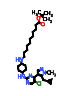 Cn1ncc(-c2nc(NC3CCC(NCCCCCCCCCCC(=O)OC(C)(C)C)CC3)ncc2Cl)c1CC1CC1